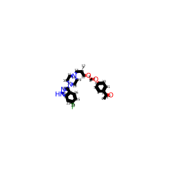 CC(=O)c1ccc(OCOC[C@@H](C)CN2CCN(c3n[nH]c4cc(F)ccc34)CC2)cc1